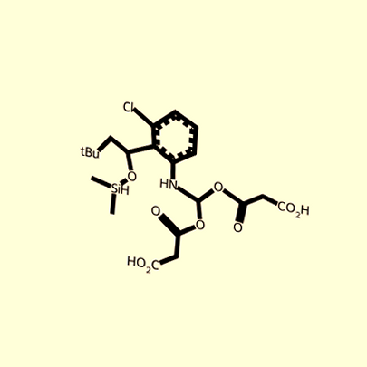 C[SiH](C)OC(CC(C)(C)C)c1c(Cl)cccc1NC(OC(=O)CC(=O)O)OC(=O)CC(=O)O